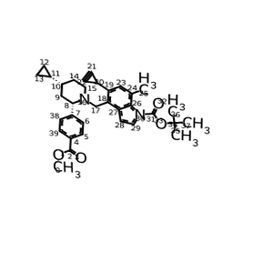 COC(=O)c1ccc([C@@H]2C[C@H](C3CC3)CCN2Cc2c(C3C#C3)cc(C)c3c2ccn3C(=O)OC(C)(C)C)cc1